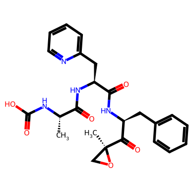 C[C@H](NC(=O)O)C(=O)N[C@@H](Cc1ccccn1)C(=O)N[C@@H](Cc1ccccc1)C(=O)[C@]1(C)CO1